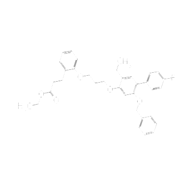 CCOC(=O)CCc1ccccc1OCCCOc1cc(OCc2ccccc2)c(-c2ccc(F)cc2)cc1CC